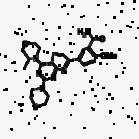 COc1ccc(-c2ccc3c(N4CCOCC4C)nc(N4CCSCC4)nc3n2)cc1C(N)=O